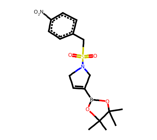 CC1(C)OB(C2=CCN(S(=O)(=O)Cc3ccc([N+](=O)[O-])cc3)C2)OC1(C)C